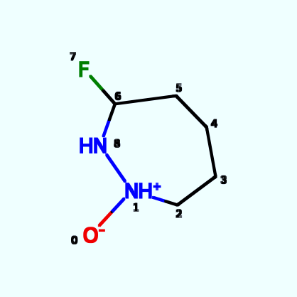 [O-][NH+]1CCCCC(F)N1